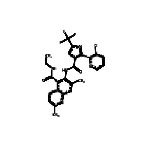 CCNC(=O)c1c(NC(=O)c2cc(C(F)(F)F)nn2-c2ncccc2Cl)c(C)cc2nc(C)ccc12